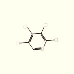 Clc1bcc(Cl)c(Cl)c1Cl